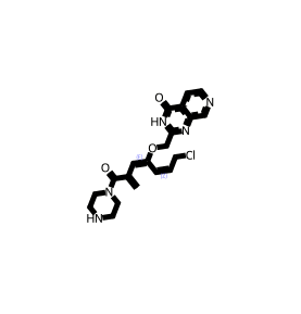 C=C(/C=C(\C=C/CCl)OCc1nc2cnccc2c(=O)[nH]1)C(=O)N1CCNCC1